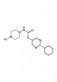 CC(=O)N1CCN(NC(=O)Oc2cnc(-c3ccccc3)nc2)CC1